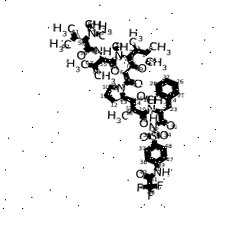 CC[C@H](C)[C@@H]([C@H](CC(=O)N1CCC[C@H]1[C@H](OC)[C@@H](C)C(=O)N[C@@H](Cc1ccccc1)C(=O)NS(=O)(=O)c1ccc(NC(=O)C(F)(F)F)cc1)OC)N(C)C(=O)[C@@H](NC(=O)[C@H](C(C)C)N(C)C)C(C)C